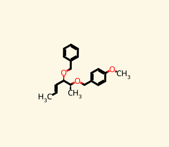 CC=C[C@@H](OCc1ccccc1)[C@H](C)OCc1ccc(OC)cc1